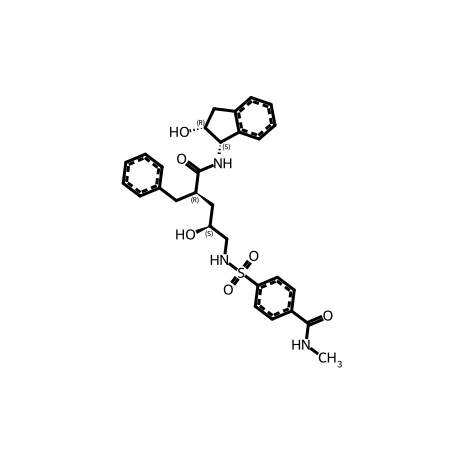 CNC(=O)c1ccc(S(=O)(=O)NC[C@@H](O)C[C@@H](Cc2ccccc2)C(=O)N[C@H]2c3ccccc3C[C@H]2O)cc1